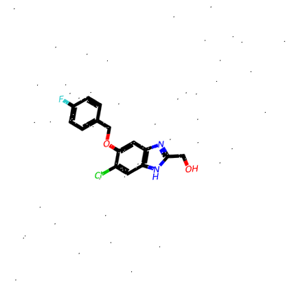 OCc1nc2cc(OCc3ccc(F)cc3)c(Cl)cc2[nH]1